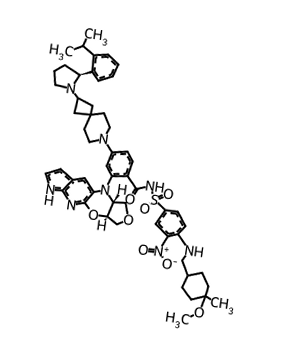 COC1(C)CCC(CNc2ccc(S(=O)(=O)NC(=O)c3ccc(N4CCC5(CC4)CC(N4CCC[C@H]4c4ccccc4C(C)C)C5)cc3N3c4cc5cc[nH]c5nc4O[C@@H]4COC[C@H]43)cc2[N+](=O)[O-])CC1